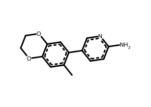 Cc1cc2c(cc1-c1ccc(N)nc1)OCCO2